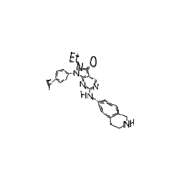 CCn1c(=O)c2cnc(Nc3ccc4c(c3)CCNC4)nc2n1-c1ccc(F)cc1